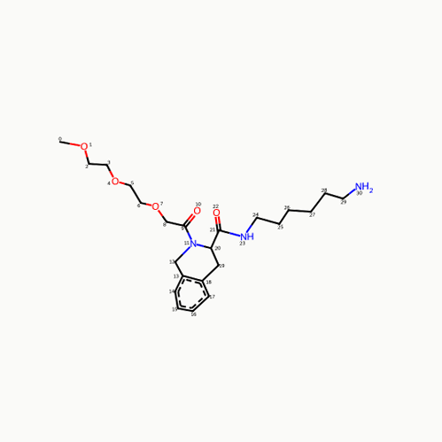 COCCOCCOCC(=O)N1Cc2ccccc2CC1C(=O)NCCCCCCN